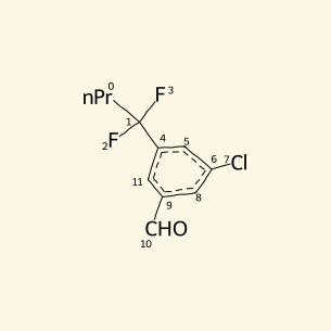 CCCC(F)(F)c1cc(Cl)cc(C=O)c1